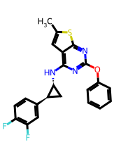 Cc1cc2c(N[C@@H]3C[C@H]3c3ccc(F)c(F)c3)nc(Oc3ccccc3)nc2s1